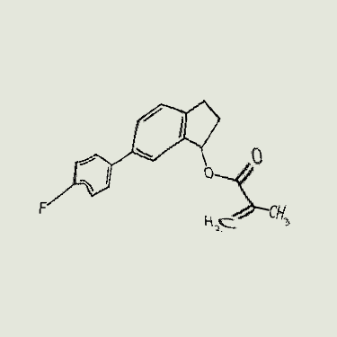 C=C(C)C(=O)OC1CCc2ccc(-c3ccc(F)cc3)cc21